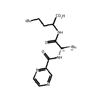 CC[C@H](C)[C@H](NC(=O)c1cnccn1)C(=O)NC(CCC(C)(C)C)C(=O)O